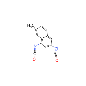 Cc1ccc2cc(N=C=O)cc(N=C=O)c2c1